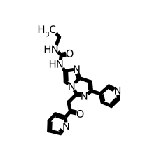 CCNC(=O)Nc1cn2c(CC(=O)c3ccccn3)nc(-c3cccnc3)cc2n1